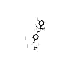 Cc1cc(C2=NN(C)C(c3cc(Cl)cc(Cl)c3)(C(F)(F)F)C2)ccc1C(=O)NC1(C)CSC1